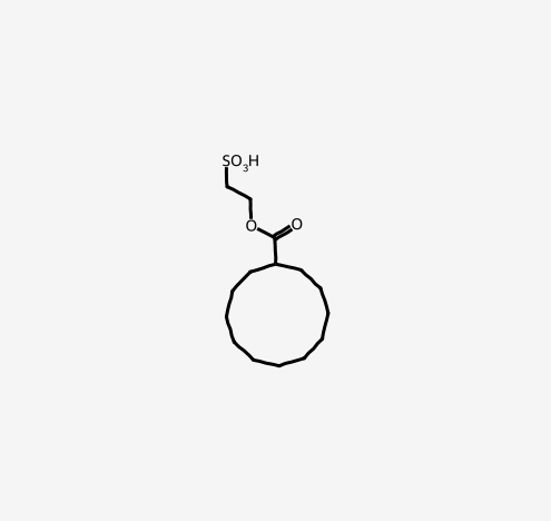 O=C(OCCS(=O)(=O)O)C1CCCCCCCCCCC1